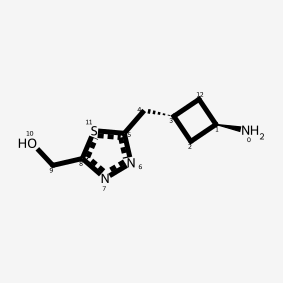 N[C@H]1C[C@H](Cc2nnc(CO)s2)C1